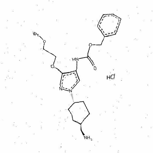 CC(C)OCCOc1nn([C@H]2CC[C@H](N)CC2)cc1NC(=O)OCc1ccccc1.Cl